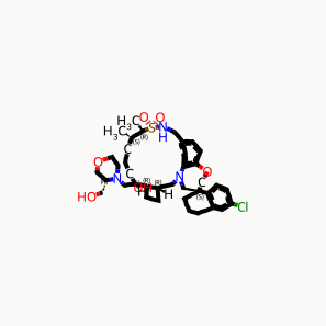 C[C@@H]1[C@@H](C)CCC[C@@](O)(CN2CCOC[C@H]2CO)[C@@H]2CC[C@H]2CN2C[C@@]3(CCCc4cc(Cl)ccc43)COc3ccc(cc32)CNS1(=O)=O